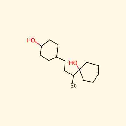 [CH2]CC(CCC1CCC(O)CC1)C1(O)CCCCC1